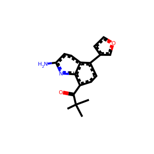 CC(C)(C)C(=O)c1ccc(-c2ccoc2)c2ccc(N)nc12